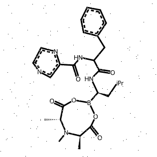 CC(C)C[C@H](NC(=O)C(Cc1ccccc1)NC(=O)c1cnccn1)B1OC(=O)[C@@H](C)N(C)[C@H](C)C(=O)O1